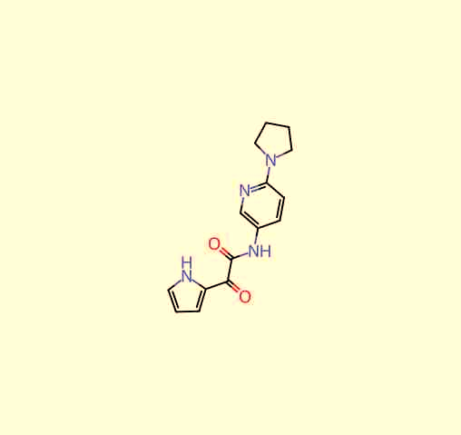 O=C(Nc1ccc(N2CCCC2)nc1)C(=O)c1ccc[nH]1